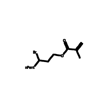 C=C(C)C(=O)OCCC(Br)CCCCC